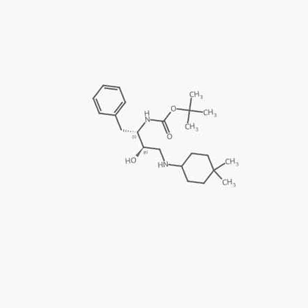 CC1(C)CCC(NC[C@@H](O)[C@H](Cc2ccccc2)NC(=O)OC(C)(C)C)CC1